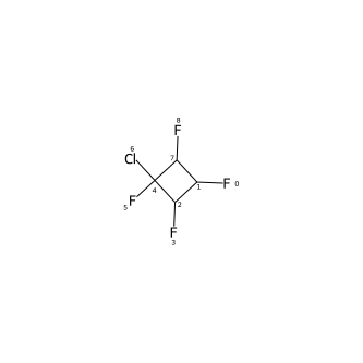 FC1C(F)C(F)(Cl)C1F